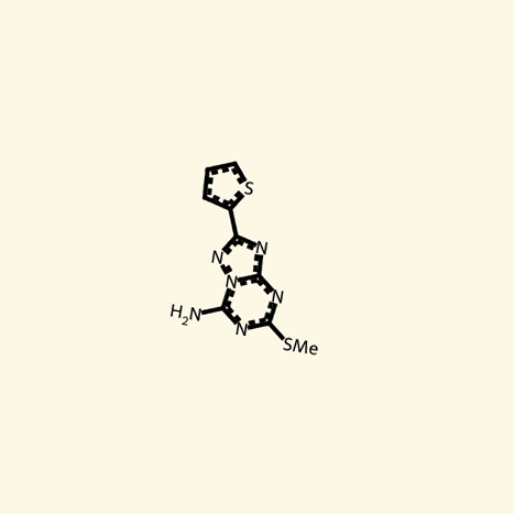 CSc1nc(N)n2nc(-c3cccs3)nc2n1